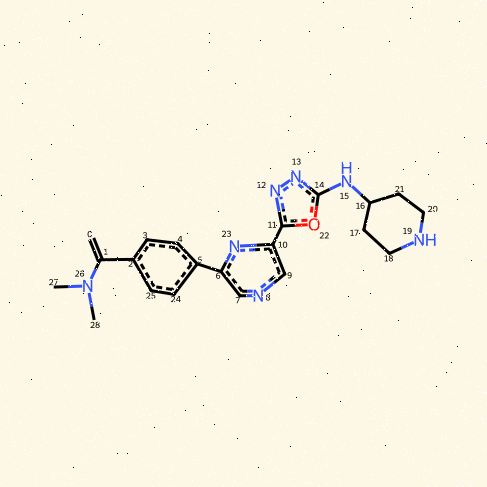 C=C(c1ccc(-c2cncc(-c3nnc(NC4CCNCC4)o3)n2)cc1)N(C)C